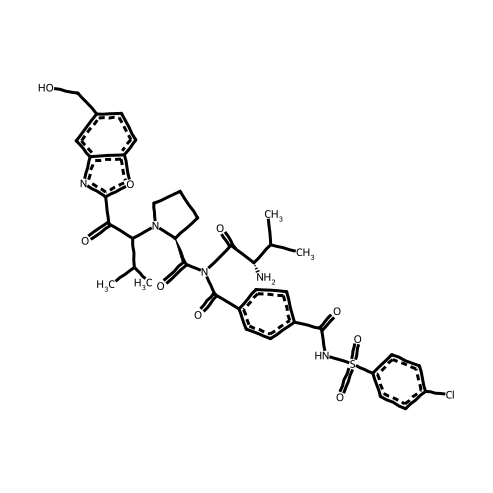 CC(C)C(C(=O)c1nc2cc(CO)ccc2o1)N1CCC[C@H]1C(=O)N(C(=O)c1ccc(C(=O)NS(=O)(=O)c2ccc(Cl)cc2)cc1)C(=O)[C@@H](N)C(C)C